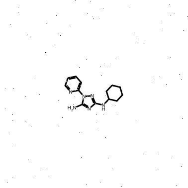 Nc1nc(NC2CCCCC2)nn1-c1ccccn1